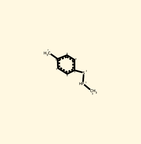 CPSc1ccc(C)cc1